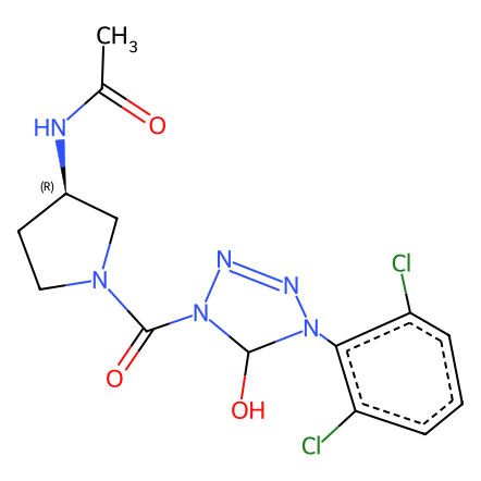 CC(=O)N[C@@H]1CCN(C(=O)N2N=NN(c3c(Cl)cccc3Cl)C2O)C1